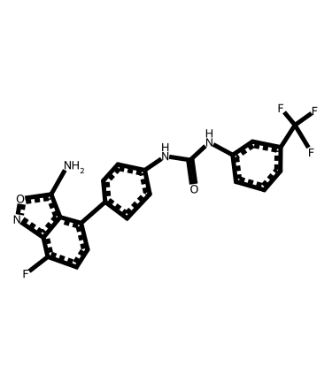 Nc1onc2c(F)ccc(-c3ccc(NC(=O)Nc4cccc(C(F)(F)F)c4)cc3)c12